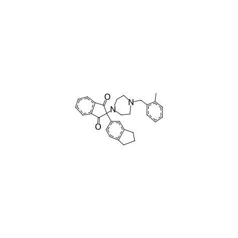 Cc1ccccc1CN1CCN(C2(c3ccc4c(c3)CCC4)C(=O)c3ccccc3C2=O)CC1